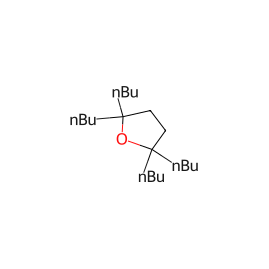 CCCCC1(CCCC)CCC(CCCC)(CCCC)O1